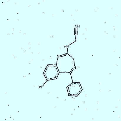 C#CCNC1=Nc2ccc(Br)cc2C(c2ccccc2)=NC1